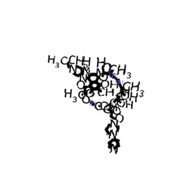 C/C1=C/C=C/C(C)[C@H](O)CC(O)C[C@H](OC(=O)CC(=O)N2CCCN(c3ccncc3)CC2)CC/C=C/O[C@@]2(C)Oc3c(C)c(O)c4c(c3C2=O)C2=NC3(CCN(CC(C)C)CC3)NC2=C(NC1=O)C4=O